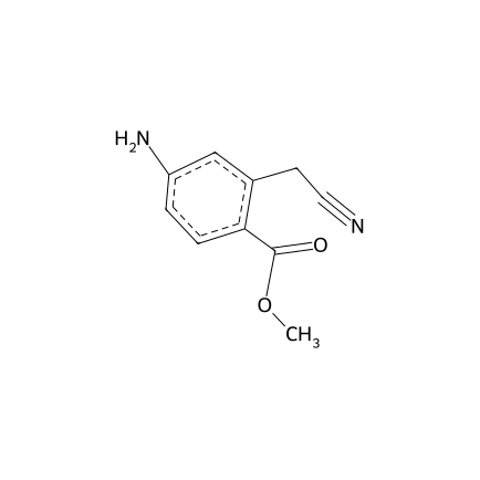 COC(=O)c1ccc(N)cc1CC#N